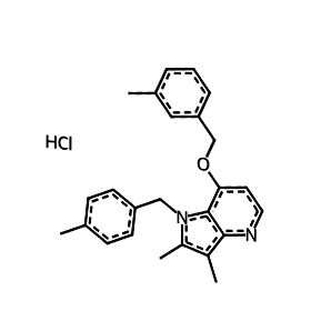 Cc1ccc(Cn2c(C)c(C)c3nccc(OCc4cccc(C)c4)c32)cc1.Cl